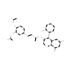 CC(=O)Oc1ccc(/C=C/C(=O)Nc2cnc3c(C)cc(C)cc3c2-c2ccccc2Cl)cc1OC(C)=O